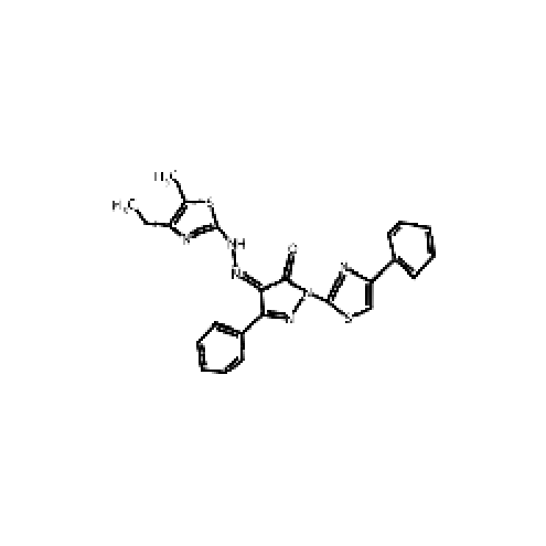 CCc1nc(N/N=C2\C(=O)N(c3nc(-c4ccccc4)cs3)N=C2c2ccccc2)sc1C